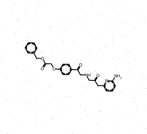 Nc1cccc(CC(=O)CNCC(=O)c2ccc(OCC(=O)OCc3ccccc3)cc2)n1